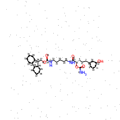 NC(=O)O[C@@H](CCCc1cccc(O)c1)C(=O)NCCCCCNC(=O)OCC1c2ccccc2-c2ccccc21